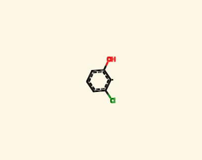 Oc1[c]c(Cl)ccc1